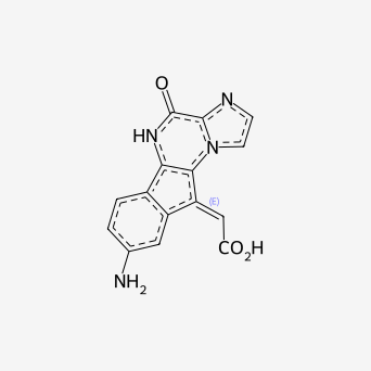 Nc1ccc2c(c1)/c(=C\C(=O)O)c1c2[nH]c(=O)c2nccn21